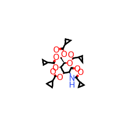 O=C[C@@H](NC(=O)C1CC1)[C@@H](OC(=O)C1CC1)[C@H](OC(=O)C1CC1)[C@@H](COC(=O)C1CC1)OC(=O)C1CC1